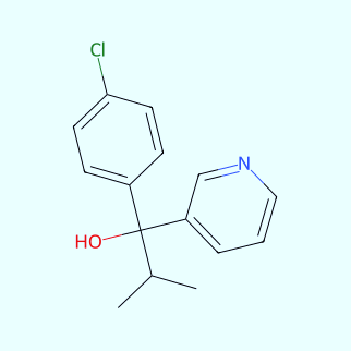 CC(C)C(O)(c1ccc(Cl)cc1)c1cccnc1